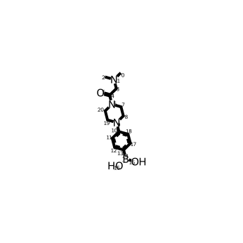 CN(C)CC(=O)N1CCN(c2ccc(B(O)O)cc2)CC1